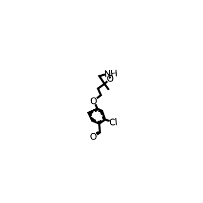 CC1(CCOc2ccc(C=O)c(Cl)c2)CNO1